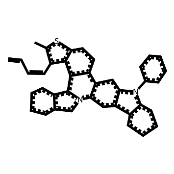 C=C/C=C\c1c(C)sc2ccc3c4cc5c(cc4n4cc6ccccc6c4c3c12)c1ccccc1n5-c1ccccc1